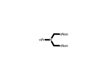 CC[CH]N(CCCCCCCCCC)CCCCCCCCCC